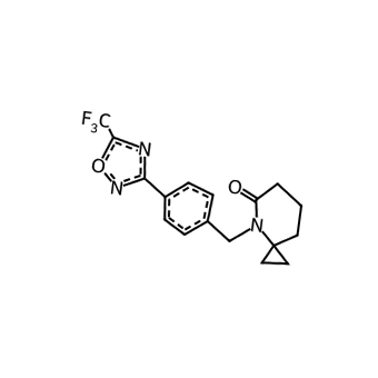 O=C1CCCC2(CC2)N1Cc1ccc(-c2noc(C(F)(F)F)n2)cc1